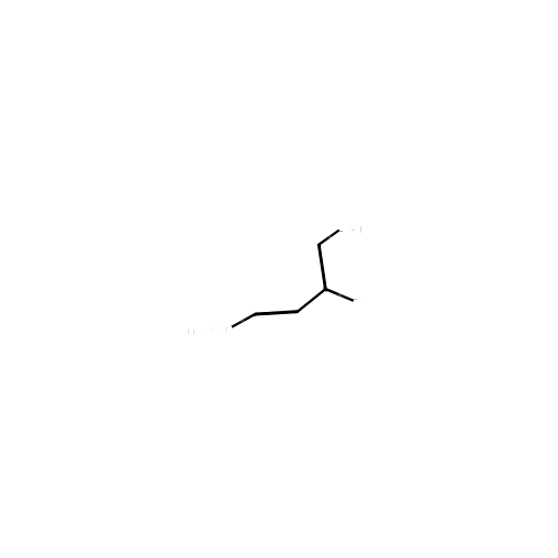 CCCCCCCC(CC)CC(C)CC